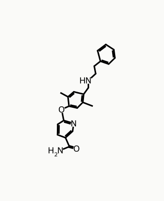 Cc1cc(Oc2ccc(C(N)=O)cn2)c(C)cc1CNCCc1ccccc1